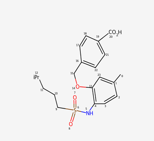 Cc1ccc(NS(=O)(=O)CCCC(C)C)c(OCc2ccc(C(=O)O)cc2)c1